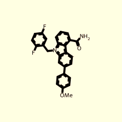 COc1ccc(-c2c[c]c3c4c(C(N)=O)cccc4n(Cc4cc(F)ccc4F)c3c2)cc1